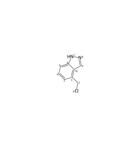 ClCc1cccc2[nH]ncc12